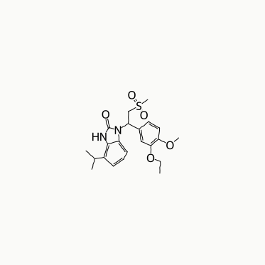 CCOc1cc(C(CS(C)(=O)=O)n2c(=O)[nH]c3c(C(C)C)cccc32)ccc1OC